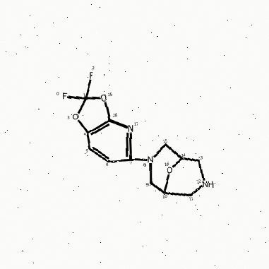 FC1(F)Oc2ccc(N3CC4CNCC(C3)O4)nc2O1